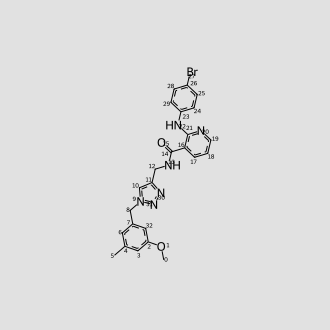 COc1cc(C)cc(Cn2cc(CNC(=O)c3cccnc3Nc3ccc(Br)cc3)nn2)c1